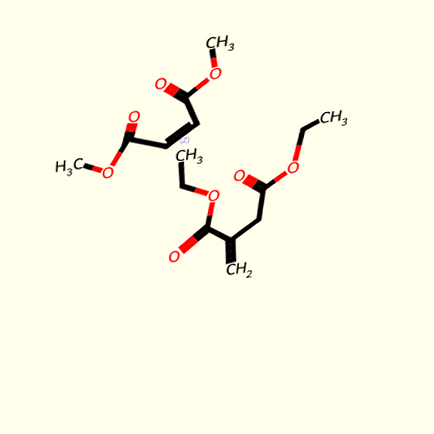 C=C(CC(=O)OCC)C(=O)OCC.COC(=O)/C=C\C(=O)OC